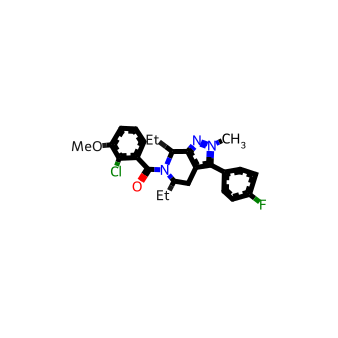 CCC1Cc2c(nn(C)c2-c2ccc(F)cc2)C(CC)N1C(=O)c1cccc(OC)c1Cl